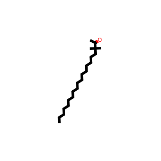 CCCCCCCCCCCCCCCCCC(C)(C)C(C)=O